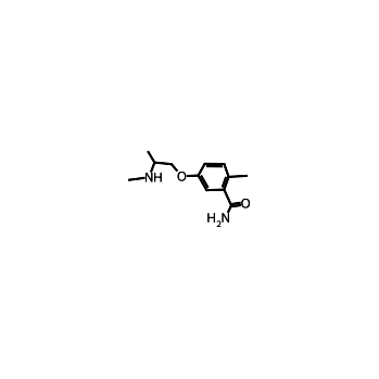 CNC(C)COc1ccc(C)c(C(N)=O)c1